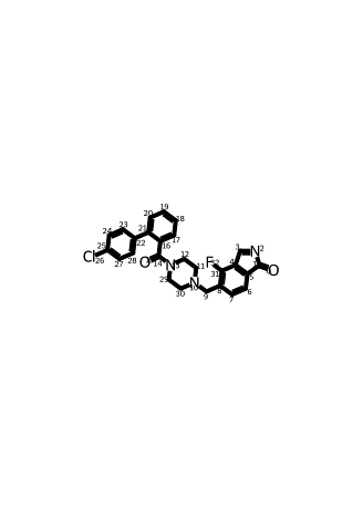 O=C1N=Cc2c1ccc(CN1CCN(C(=O)c3ccccc3-c3ccc(Cl)cc3)CC1)c2F